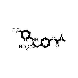 CN(C)C(=O)Oc1ccc(C[C@H](Nc2ccc(C(F)(F)F)cn2)C(=O)O)cc1